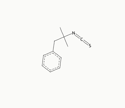 CC(C)(Cc1ccccc1)N=C=S